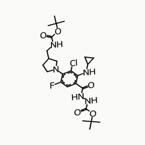 CC(C)(C)OC(=O)NCC1CCN(c2c(F)cc(C(=O)NNC(=O)OC(C)(C)C)c(NC3CC3)c2Cl)C1